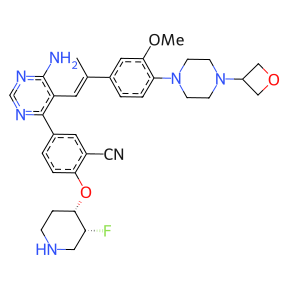 COc1cc(/C(C)=C/c2c(N)ncnc2-c2ccc(O[C@H]3CCNC[C@H]3F)c(C#N)c2)ccc1N1CCN(C2COC2)CC1